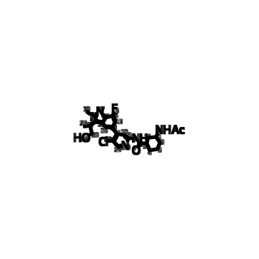 CC(=O)NC1CCCC(C(=O)Nc2cc(-c3cc(F)c4nn(C)c(C(C)CO)c4c3)c(Cl)cn2)C1